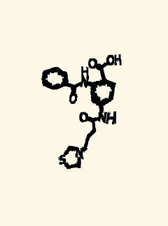 O=C(CCCN1CCSC1)Nc1ccc(C(=O)O)c(NC(=O)c2ccccc2)c1